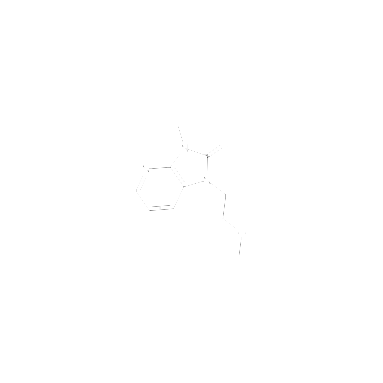 COCCn1c(=O)n(C)c2ncc[c]c21